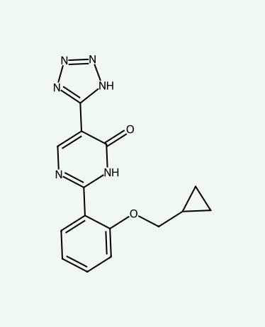 O=c1[nH]c(-c2ccccc2OCC2CC2)ncc1-c1nnn[nH]1